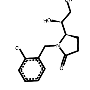 O=C1CC[C@H]([C@@H](O)CO)N1Cc1ccccc1Cl